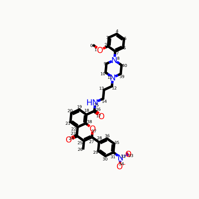 COc1ccccc1N1CCN(CCCNC(=O)c2cccc3c(=O)c(C)c(-c4ccc([N+](=O)[O-])cc4)oc23)CC1